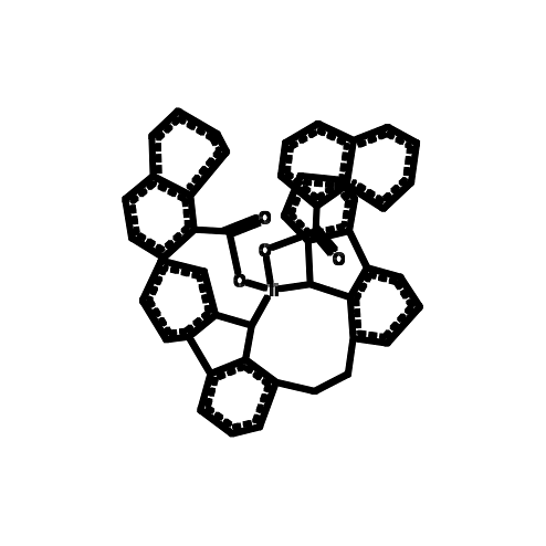 O=C([O][Ti]1([O]C(=O)c2cccc3ccccc23)[CH]2c3ccccc3-c3cccc(c32)CCc2cccc3c2[CH]1c1ccccc1-3)c1cccc2ccccc12